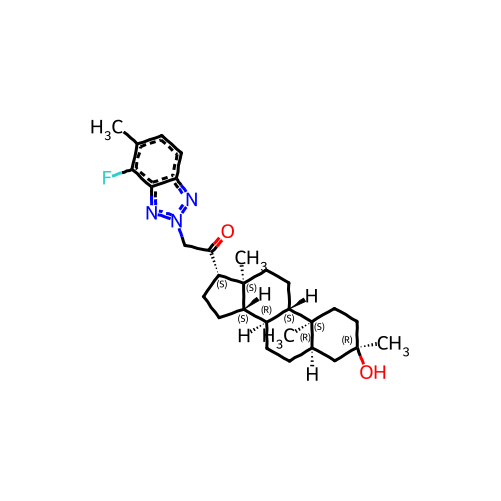 Cc1ccc2nn(CC(=O)[C@H]3CC[C@H]4[C@@H]5CC[C@@H]6C[C@](C)(O)CC[C@]6(C)[C@H]5CC[C@]34C)nc2c1F